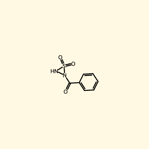 O=C(c1ccccc1)N1NS1(=O)=O